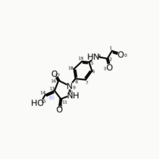 O=CC(=O)Nc1ccc(N2NC(=O)/C(=C\O)C2=O)cc1